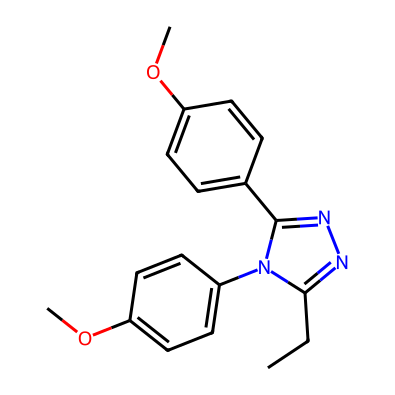 CCc1nnc(-c2ccc(OC)cc2)n1-c1ccc(OC)cc1